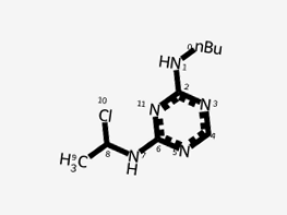 CCCCNc1ncnc(NC(C)Cl)n1